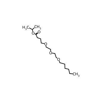 CCCCCCOCCOCCOCCCC(=O)OC(C)C